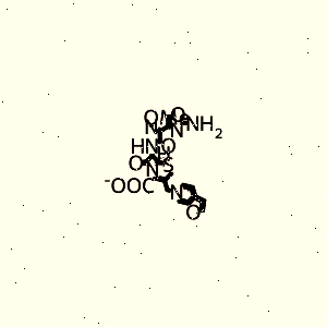 CON=C(C(=O)NC1C(=O)N2C(C(=O)[O-])=C(C[n+]3ccc4ccoc4c3)CS[C@@H]12)c1coc(N)n1